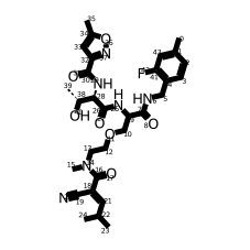 Cc1ccc(CNC(=O)C(COCCN(C)C(=O)C(C#N)=CC(C)C)NC(=O)[C@@H](NC(=O)c2cc(C)on2)[C@@H](C)O)c(F)c1